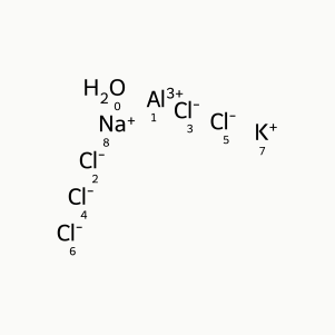 O.[Al+3].[Cl-].[Cl-].[Cl-].[Cl-].[Cl-].[K+].[Na+]